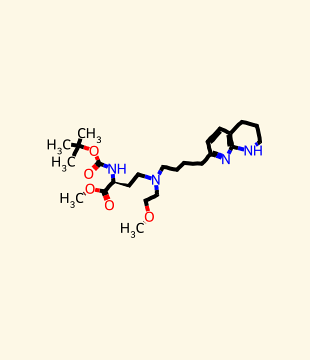 COCCN(CCCCc1ccc2c(n1)NCCC2)CC[C@H](NC(=O)OC(C)(C)C)C(=O)OC